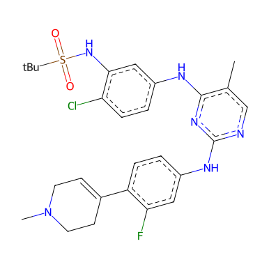 Cc1cnc(Nc2ccc(C3=CCN(C)CC3)c(F)c2)nc1Nc1ccc(Cl)c(NS(=O)(=O)C(C)(C)C)c1